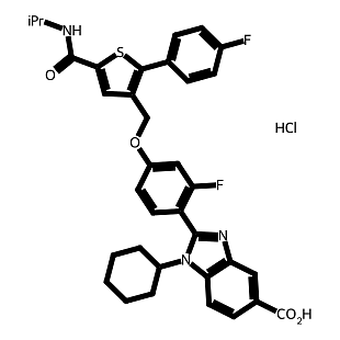 CC(C)NC(=O)c1cc(COc2ccc(-c3nc4cc(C(=O)O)ccc4n3C3CCCCC3)c(F)c2)c(-c2ccc(F)cc2)s1.Cl